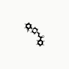 O=C(CCN1CCN(c2ccccc2F)CC1)c1ccccc1